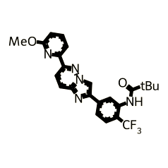 COc1cccc(-c2ccc3nc(-c4ccc(C(F)(F)F)c(NC(=O)C(C)(C)C)c4)cn3n2)n1